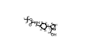 CC(C)(C)OC(=O)NCc1ccc(-c2scnc2CO)cc1